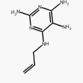 C=CCNc1nc(N)nc(N)c1N